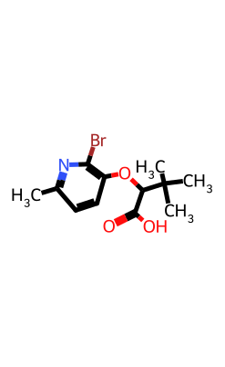 Cc1ccc(OC(C(=O)O)C(C)(C)C)c(Br)n1